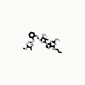 CCCNc1nc(N)nc2c1ncn2C1O[C@H](COc2ccccc2O/[P+]([O-])=N/C(C)C(=O)OC)[C@@H](O)[C@@]1(C)F